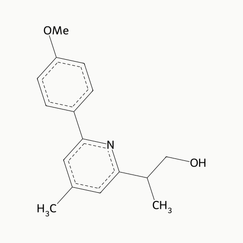 COc1ccc(-c2cc(C)cc(C(C)CO)n2)cc1